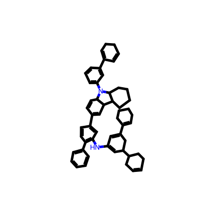 C1=CC(c2cccc(N3C4C=CC(c5ccc(-c6ccccc6)c(NC6=CC(C7CC=CCC7)CC(C7=CCCCC7)=C6)c5)=CC4C4CCCCC43)c2)=CCC1